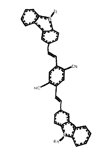 CCn1c2ccccc2c2cc(/C=C/c3cc(C#N)c(/C=C/c4ccc5c(c4)c4ccccc4n5CC)cc3C#N)ccc21